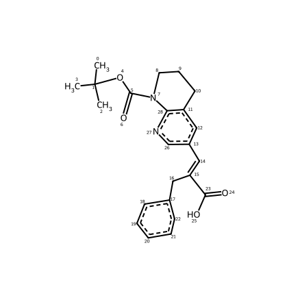 CC(C)(C)OC(=O)N1CCCc2cc(/C=C(\Cc3ccccc3)C(=O)O)cnc21